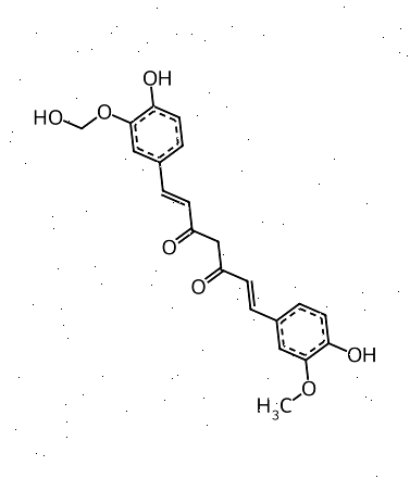 COc1cc(/C=C/C(=O)CC(=O)/C=C/c2ccc(O)c(OCO)c2)ccc1O